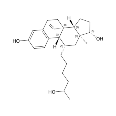 C=C[C@@]12CCc3cc(O)ccc3[C@H]1[C@@H](CCCCC(C)O)C[C@@]1(C)[C@H]2CC[C@@H]1O